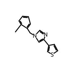 Cc1ccccc1Cn1cnc(-c2ccsc2)c1